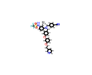 Cc1c(NS(=O)(=O)C(F)(F)F)cccc1N(Cc1ccc(C#N)cc1)Cc1ccc(Oc2cccc(OCCc3cccnc3)c2)cc1